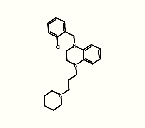 Clc1ccccc1CN1CCN(CCCN2CCCCC2)c2ccccc21